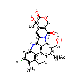 CC[C@@]1(O)C(=O)OCc2c1cc1n(c2=O)Cc2c-1nc1cc(F)c(C)c3c1c2[C@H]([C@@H](CCO)NC(C)=O)CC3